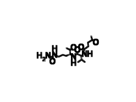 CC(=O)CCC(=O)N[C@H](C(=O)N[C@@H](CCCNC(N)=O)C(C)=O)C(C)C